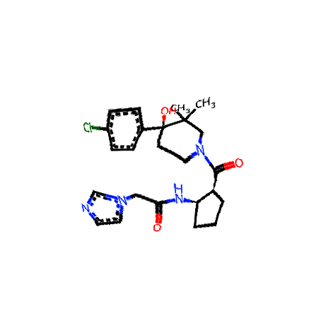 CC1(C)CN(C(=O)[C@H]2CCC[C@H]2NC(=O)Cn2ccnc2)CC[C@]1(O)c1ccc(Cl)cc1